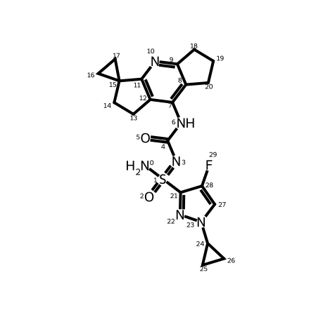 NS(=O)(=NC(=O)Nc1c2c(nc3c1CCC31CC1)CCC2)c1nn(C2CC2)cc1F